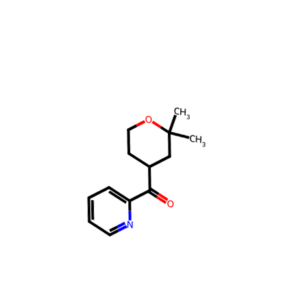 CC1(C)CC(C(=O)c2ccccn2)CCO1